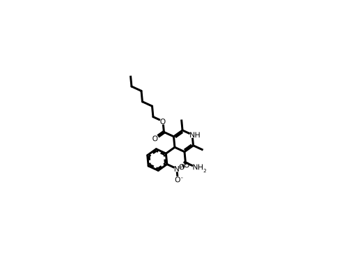 CCCCCCOC(=O)C1=C(C)NC(C)=C(C(N)=O)C1c1ccccc1[N+](=O)[O-]